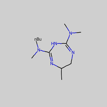 CCCCN(C)C1=NC(C)CN=C(N(C)C)N1